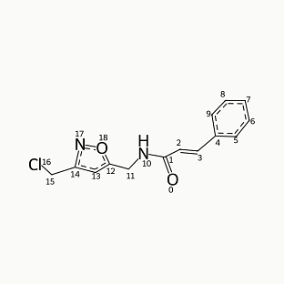 O=C(C=Cc1ccccc1)NCc1cc(CCl)no1